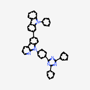 c1ccc(-c2nc(-c3ccccc3)nc(-c3ccc(-n4c5ccc(-c6ccc7c8ccccc8n(-c8ccccc8)c7c6)cc5c5cccnc54)cc3)n2)cc1